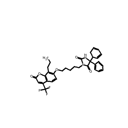 CCCc1c(OCCCCCN2C(=O)NC(c3ccccc3)(C3C=CC=CC3)C2=O)ccc2c(C(F)(F)F)cc(=O)oc12